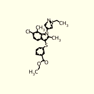 CCOC(=O)c1cccc(Sc2c(C)n(-c3cnn(CC)c3)c3c(C)c(Cl)ccc23)c1